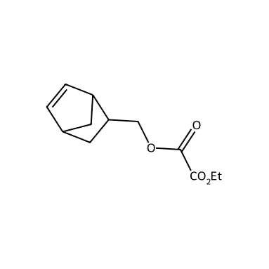 CCOC(=O)C(=O)OCC1CC2C=CC1C2